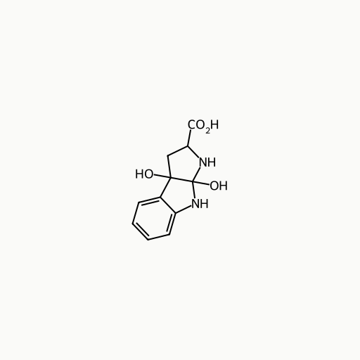 O=C(O)C1CC2(O)c3ccccc3NC2(O)N1